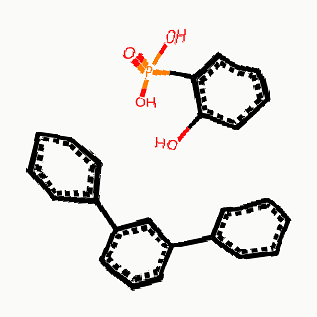 O=P(O)(O)c1ccccc1O.c1ccc(-c2cccc(-c3ccccc3)c2)cc1